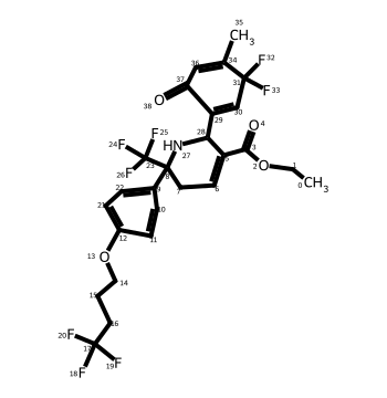 CCOC(=O)C1=CCC(c2ccc(OCCCC(F)(F)F)cc2)(C(F)(F)F)NC1C1=CC(F)(F)C(C)=CC1=O